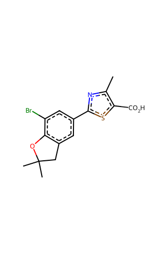 Cc1nc(-c2cc(Br)c3c(c2)CC(C)(C)O3)sc1C(=O)O